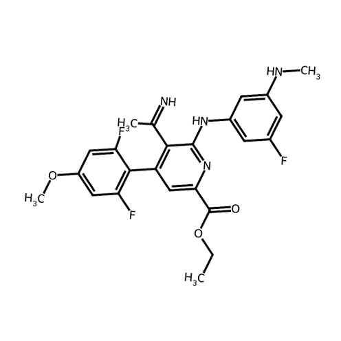 CCOC(=O)c1cc(-c2c(F)cc(OC)cc2F)c(C(C)=N)c(Nc2cc(F)cc(NC)c2)n1